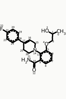 CC(O)COc1cccc(C(N)=O)c1N1CC=C(c2ccc(F)cc2)CC1